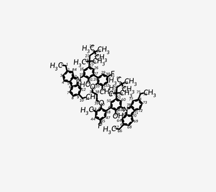 CCc1ccc2c3ccc(CC)cc3n(-c3cc(C(C)(C)CC(C)(C)C)cc(-c4cc(F)cc(C)c4OCCCOc4c(C)cc(F)cc4-c4cc(C(C)(C)CC(C)(C)C)cc(-n5c6cc(CC)ccc6c6ccc(CC)cc65)c4O)c3O)c2c1